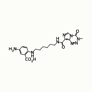 Cn1nnc2c(C(=O)NCCCCCCNc3ccc(N)cc3C(=O)O)ncn2c1=O